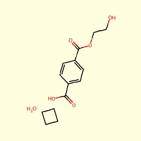 C1CCC1.O.O=C(O)c1ccc(C(=O)OCCO)cc1